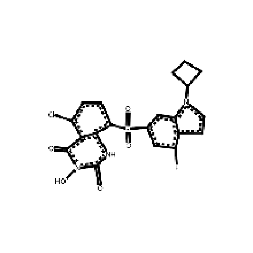 O=c1[nH]c2c(S(=O)(=O)c3cc(F)c4ccn(C5CCC5)c4c3)ccc(Cl)c2c(=O)n1O